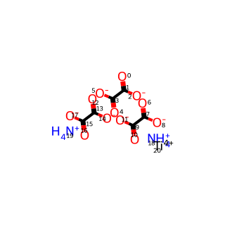 O=C([O-])C(=O)[O-].O=C([O-])C(=O)[O-].O=C([O-])C(=O)[O-].[NH4+].[NH4+].[Ti+4]